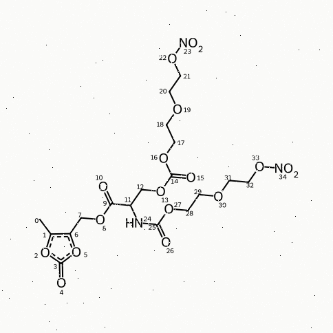 Cc1oc(=O)oc1COC(=O)C(COC(=O)OCCOCCO[N+](=O)[O-])NC(=O)OCCOCCO[N+](=O)[O-]